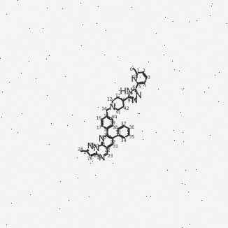 Cc1cccc(-c2nnc(C3CCN(Cc4ccc(-c5nc6c(cnc7cc(C)nn76)cc5-c5ccccc5)cc4)CC3)[nH]2)n1